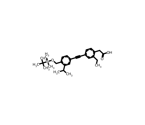 CCc1cc(C#Cc2ccc(CO[Si](C)(C)C(C)(C)C)c(C(C)C)c2)ccc1CC(=O)O